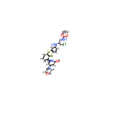 CC(C)(C)OC(=O)NCC(CCl)Nc1ccc2c(c1)Sc1cccc(-c3cc(N4CCOCC4)cc(=O)[nH]3)c1S2